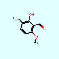 COc1ccc(C)c(O)c1C=O